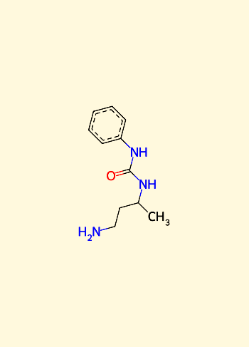 CC(CCN)NC(=O)Nc1ccccc1